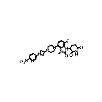 Cn1c(=O)n(C2CCC(=O)NC2=O)c2c(F)ccc(N3CCN(C4CN(c5ccc(N)nc5)C4)CC3)c21